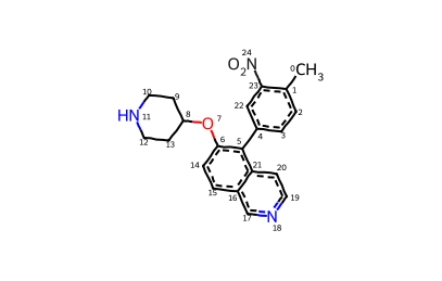 Cc1ccc(-c2c(OC3CCNCC3)ccc3cnccc23)cc1[N+](=O)[O-]